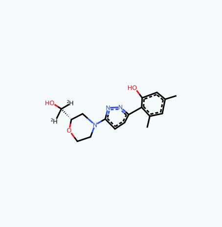 [2H]C([2H])(O)[C@@H]1CN(c2ccc(-c3c(C)cc(C)cc3O)nn2)CCO1